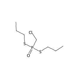 CCCSP(=O)(CCl)SCCC